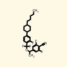 CCCCCC1CCC(c2ccc(C(F)(F)OC(C)c3cc(F)c(C#N)c(F)c3)c(F)c2)CC1